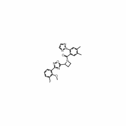 COc1c(F)cccc1-c1noc(C2CCN2C(=O)c2cc(C)c(C)cc2-n2nccn2)n1